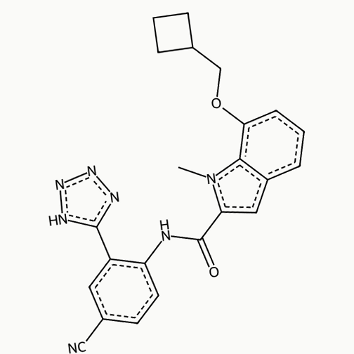 Cn1c(C(=O)Nc2ccc(C#N)cc2-c2nnn[nH]2)cc2cccc(OCC3CCC3)c21